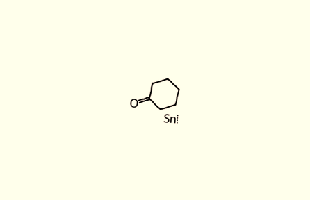 O=C1CCCCC1.[Sn]